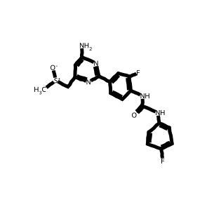 C[S+]([O-])Cc1cc(N)nc(-c2ccc(NC(=O)Nc3ccc(F)cc3)c(F)c2)n1